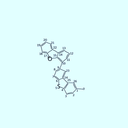 Cc1ccc2sc3ccc(-c4cccc5c4oc4ccccc45)cc3c2c1